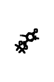 [CH2]c1cc(=O)n(C)cc1B1OC(C)(C)C(C)(C)O1